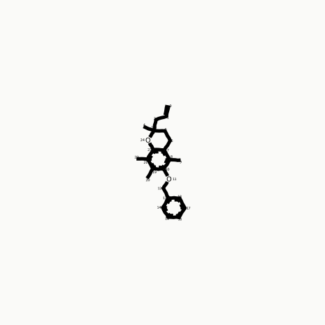 C=CCC1(C)CCc2c(C)c(OCc3ccccc3)c(C)c(C)c2O1